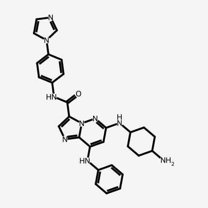 NC1CCC(Nc2cc(Nc3ccccc3)c3ncc(C(=O)Nc4ccc(-n5ccnc5)cc4)n3n2)CC1